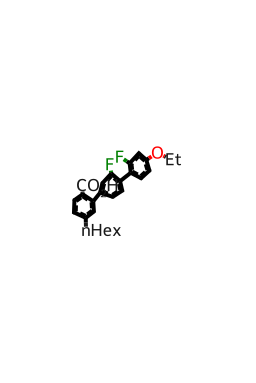 CCCCCCc1ccc(C(=O)O)c(-c2ccc(-c3ccc(OCC)cc3F)c(F)c2)c1